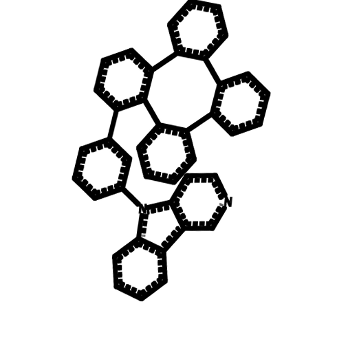 c1cc(-c2cccc3c2-c2ccccc2-c2ccccc2-c2ccccc2-3)cc(-n2c3ccccc3c3cnccc32)c1